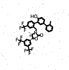 Cc1ccccc1-c1ccc(O)c(-c2ccc(C(F)(F)F)cc2CN2C(=O)O[C@H](c3cc(C(F)(F)F)cc(C(F)(F)F)c3)[C@@H]2C)c1